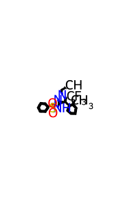 C#CCn1nc(NS(=O)(=O)c2ccccc2)c(-c2ccccc2C)c1C(F)(F)F